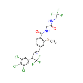 CSc1cc(/C=C/C(c2cc(Cl)c(Cl)c(Cl)c2)C(F)(F)F)ccc1C(=O)NCC(=O)NCC(F)(F)F